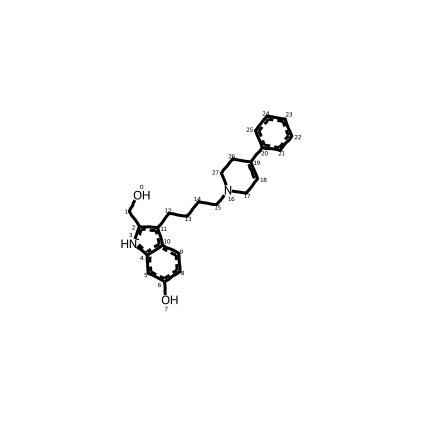 OCc1[nH]c2cc(O)ccc2c1CCCCN1CC=C(c2ccccc2)CC1